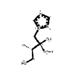 CCCCC[C@](O)(Cn1cncn1)[C@@H](C)CO